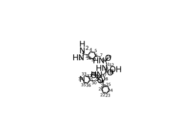 N=C(N)c1ccc(CNC(=O)[C@H](CO)NC(=O)[C@@H](CCc2ccccc2)NS(=O)(=O)Cc2ccncc2)cc1